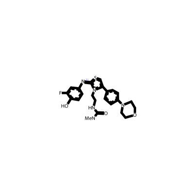 CNC(=O)NCCn1c(-c2ccc(N3CCOCC3)cc2)cs/c1=N/c1ccc(O)c(F)c1